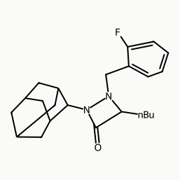 CCCCC1C(=O)N(C2C3CC4CC(C3)CC2C4)N1Cc1ccccc1F